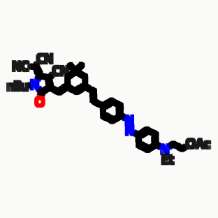 CCCCN1C(=O)C(/C=C2C=C(/C=C/c3ccc(/N=N/c4ccc(N(CC)CCOC(C)=O)cc4)cc3)CC(C)(C)C/2)=C(C#N)C1=C(C#N)C#N